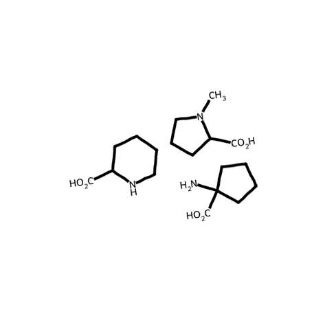 CN1CCCC1C(=O)O.NC1(C(=O)O)CCCC1.O=C(O)C1CCCCN1